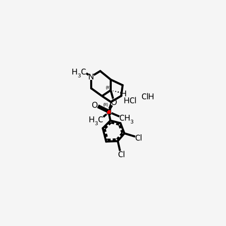 CN1CC2CC[C@@H](N(C)C)C(C1)[C@@H]2OC(=O)c1ccc(Cl)c(Cl)c1.Cl.Cl